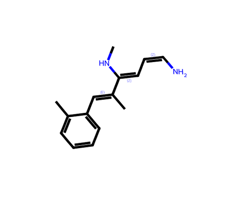 CNC(=C\C=C/N)/C(C)=C/c1ccccc1C